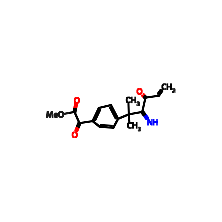 C=CC(=O)C(=N)C(C)(C)c1ccc(C(=O)C(=O)OC)cc1